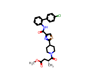 COC(=O)C[C@@H](C)C(=O)N1CCC(c2nc(C(=O)Nc3ccccc3-c3ccc(Cl)cc3)cs2)CC1